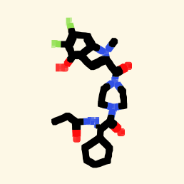 C[CH]C(=O)N[C@H](C(=O)N1CCN(C(=O)c2cc3c(O)c(F)c(F)cc3n2C)CC1)C1CCCCC1